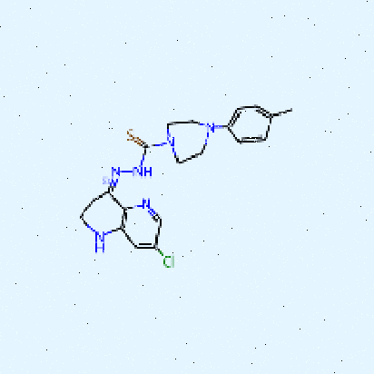 Cc1ccc(N2CCN(C(=S)N/N=C3/CCNc4cc(Cl)cnc43)CC2)cc1